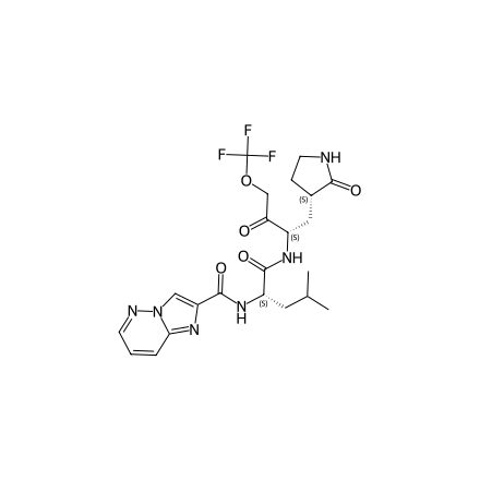 CC(C)C[C@H](NC(=O)c1cn2ncccc2n1)C(=O)N[C@@H](C[C@@H]1CCNC1=O)C(=O)COC(F)(F)F